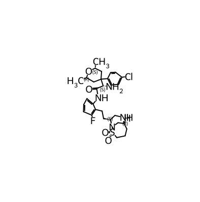 C[C@@H]1CC(c2ccc(Cl)cc2)([C@H](N)C(=O)Nc2cccc(F)c2CC[C@H]2CN[C@@H]3CCCS(=O)(=O)N2C3)C[C@H](C)O1